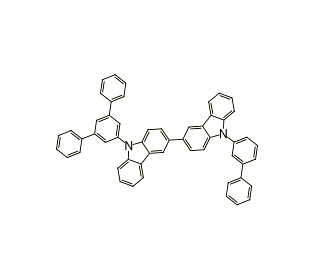 c1ccc(-c2cccc(-n3c4ccccc4c4cc(-c5ccc6c(c5)c5ccccc5n6-c5cc(-c6ccccc6)cc(-c6ccccc6)c5)ccc43)c2)cc1